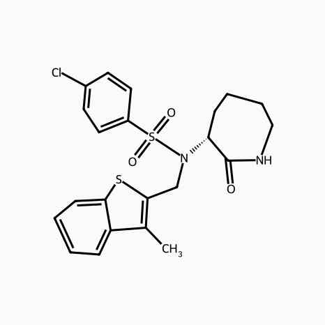 Cc1c(CN([C@@H]2CCCCNC2=O)S(=O)(=O)c2ccc(Cl)cc2)sc2ccccc12